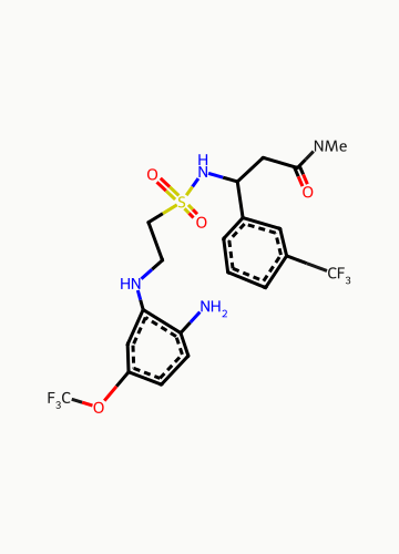 CNC(=O)CC(NS(=O)(=O)CCNc1cc(OC(F)(F)F)ccc1N)c1cccc(C(F)(F)F)c1